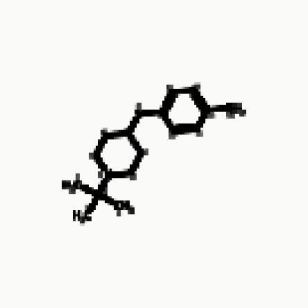 CC(C)(C)N1CCC(Sc2ccc(N)cc2)CC1